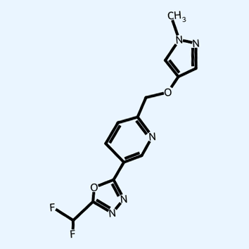 Cn1cc(OCc2ccc(-c3nnc(C(F)F)o3)cn2)cn1